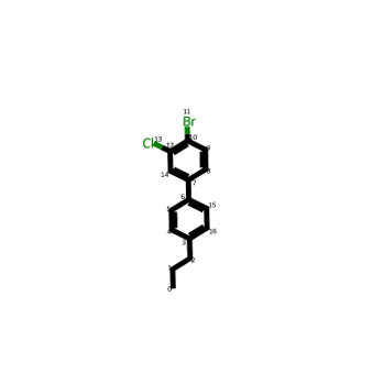 CCCc1ccc(-c2ccc(Br)c(Cl)c2)cc1